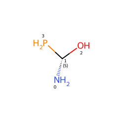 N[C@@H](O)P